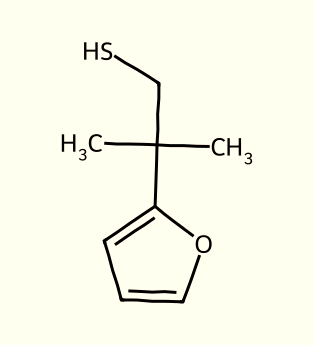 CC(C)(CS)c1ccco1